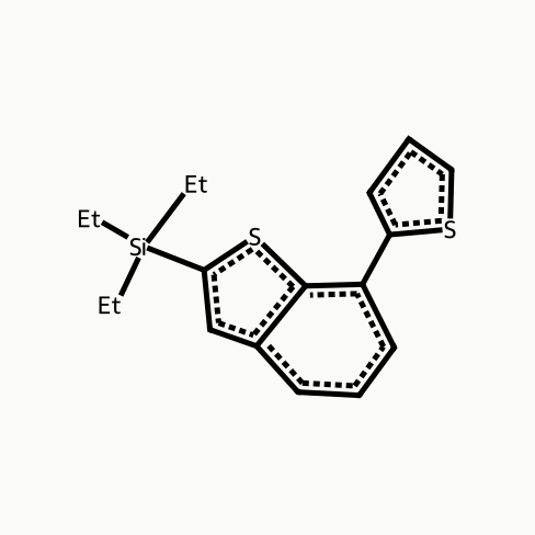 CC[Si](CC)(CC)c1cc2cccc(-c3cccs3)c2s1